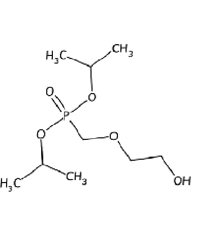 CC(C)OP(=O)(COCCO)OC(C)C